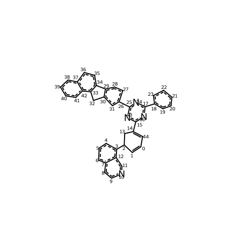 C1=CC(c2cccc3ccncc23)CC(c2nc(-c3ccccc3)nc(-c3ccc4c(c3)Cc3c-4ccc4ccccc34)n2)=C1